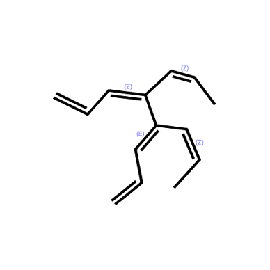 C=C/C=C(/C=C\C)C(\C=C/C)=C\C=C